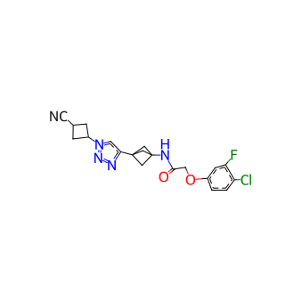 N#CC1CC(n2cc(C34CC(NC(=O)COc5ccc(Cl)c(F)c5)(C3)C4)nn2)C1